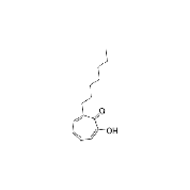 CCCCCCCc1ccccc(O)c1=O